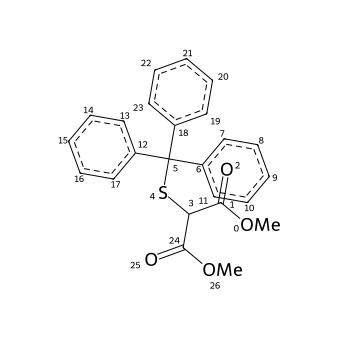 COC(=O)C(SC(c1ccccc1)(c1ccccc1)c1ccccc1)C(=O)OC